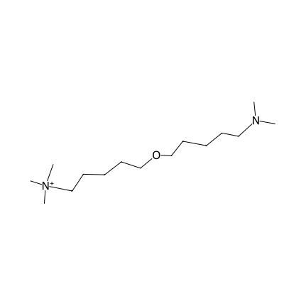 CN(C)CCCCCOCCCCC[N+](C)(C)C